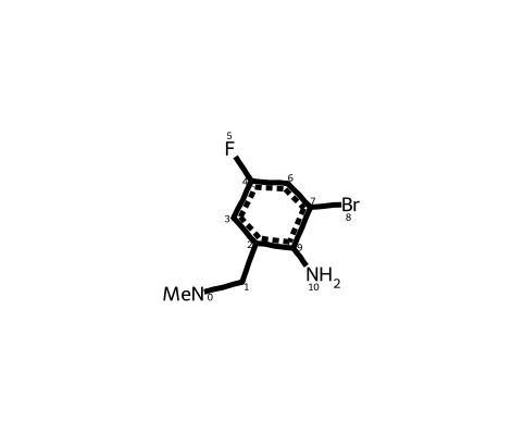 CNCc1cc(F)cc(Br)c1N